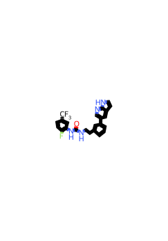 O=C(NCCc1cccc(-c2cnc3[nH]ccc3c2)c1)Nc1cc(C(F)(F)F)ccc1F